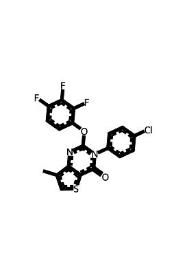 Cc1csc2c(=O)n(-c3ccc(Cl)cc3)c(Oc3ccc(F)c(F)c3F)nc12